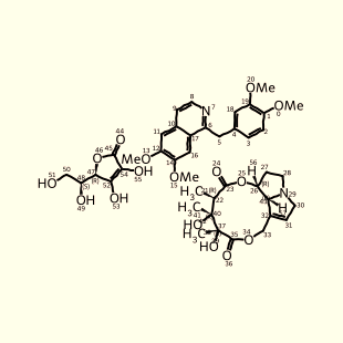 COc1ccc(Cc2nccc3cc(OC)c(OC)cc23)cc1OC.C[C@H]1C(=O)O[C@@H]2CCN3CC=C(COC(=O)[C@](C)(O)[C@]1(C)O)[C@H]23.O=C1O[C@H]([C@@H](O)CO)C(O)=C1O